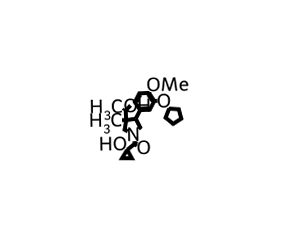 COc1ccc(C2CN(C(=O)C3(O)CC3)CC2(C)[C@@H](C)O)cc1OC1CCCC1